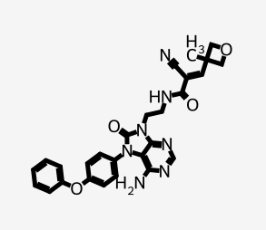 CC1(C=C(C#N)C(=O)NCCn2c(=O)n(-c3ccc(Oc4ccccc4)cc3)c3c(N)ncnc32)COC1